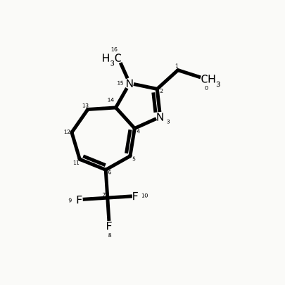 CCC1=NC2=CC(C(F)(F)F)=CCCC2N1C